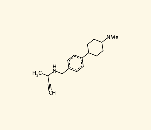 C#CC(C)NCc1ccc(C2CCC(NC)CC2)cc1